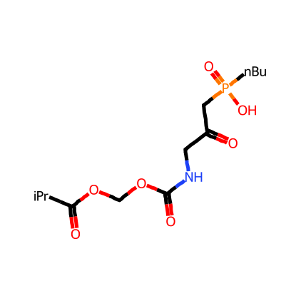 CCCCP(=O)(O)CC(=O)CNC(=O)OCOC(=O)C(C)C